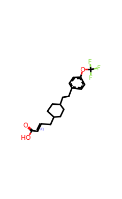 O=C(O)/C=C/CC1CCC(CCc2ccc(OC(F)(F)F)cc2)CC1